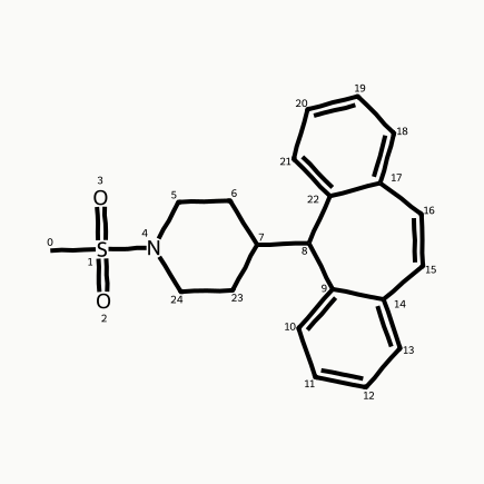 CS(=O)(=O)N1CCC(C2c3ccccc3C=Cc3ccccc32)CC1